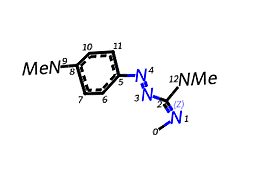 C/N=C(\N=Nc1ccc(NC)cc1)NC